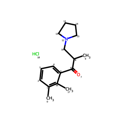 Cc1cccc(C(=O)C(C)CN2CCCC2)c1C.Cl